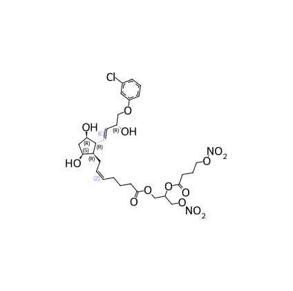 O=C(CCC/C=C\C[C@@H]1[C@@H](/C=C/[C@@H](O)COc2cccc(Cl)c2)[C@H](O)C[C@@H]1O)OCC(CO[N+](=O)[O-])OC(=O)CCCO[N+](=O)[O-]